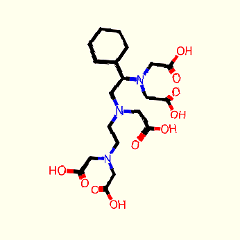 O=C(O)CN(CCN(CC(=O)O)CC(C1CCCCC1)N(CC(=O)O)CC(=O)O)CC(=O)O